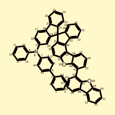 c1ccc(-c2ccc(N(c3ccccc3)c3ccc4c(c3)C3(c5ccccc5-4)c4ccccc4-c4c3ccc3oc5c(-c6cccc7c6oc6ccccc67)cccc5c43)cc2)cc1